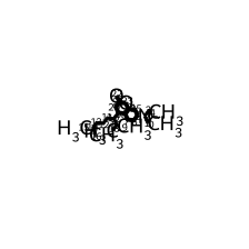 CCN(CC)c1ccc2c(C(CCCC(C)C)C(C)C)cc(=O)oc2c1